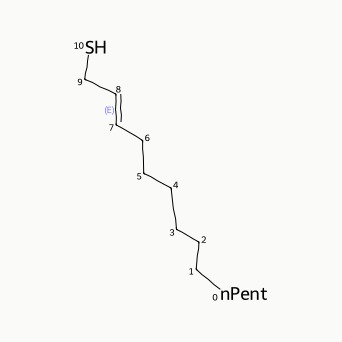 CCCCCCCCCCC/C=C/CS